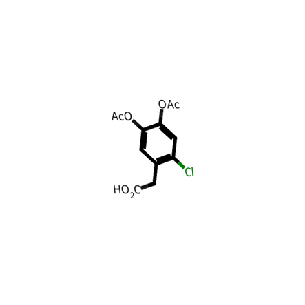 CC(=O)Oc1cc(Cl)c(CC(=O)O)cc1OC(C)=O